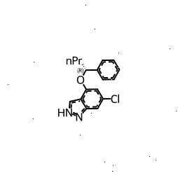 CCC[C@@H](Oc1cc(Cl)cc2n[nH]cc12)c1ccccc1